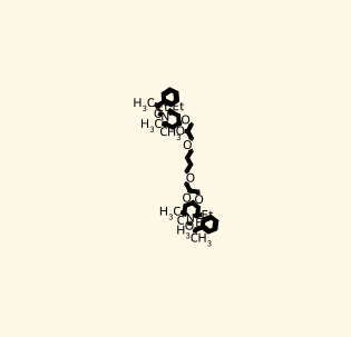 CCC1(CC)CC2(CC(C)(C)N1OC(C)c1ccccc1)OCC(COCCCCOCC1COC3(CC(C)(C)N(OC(C)c4ccccc4)C(CC)(CC)C3)O1)O2